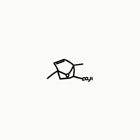 CC12C=CC(C)(O1)C(C(=O)O)C2